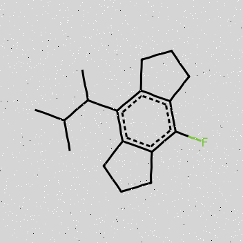 CC(C)C(C)c1c2c(c(F)c3c1CCC3)CCC2